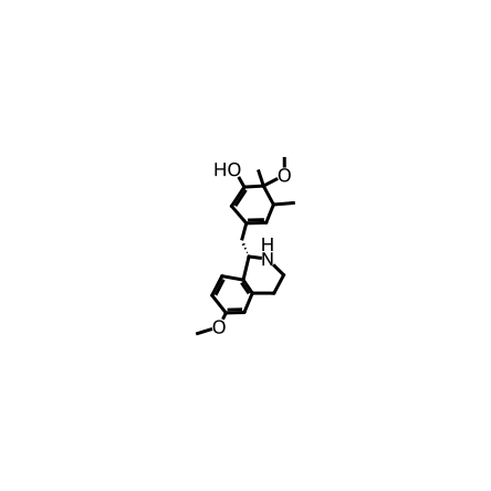 COc1ccc2c(c1)CCN[C@H]2CC1=CC(C)C(C)(OC)C(O)=C1